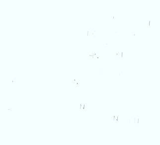 COC(=O)C(C)(C)NC(=O)c1nc(-c2cc(Cl)c(F)cc2F)n2c1CN(C)CCC2